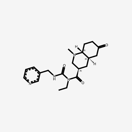 CCN(C(=O)NCc1cccnc1)C(=O)[C@@H]1C[C@@H]2CC(=O)CC[C@H]2N(C)C1